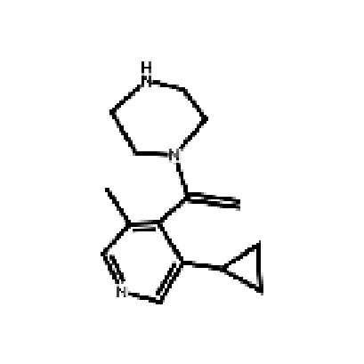 C=C(c1c(C)cncc1C1CC1)N1CCNCC1